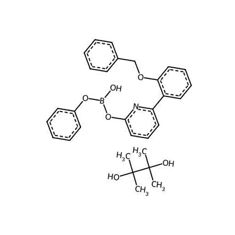 CC(C)(O)C(C)(C)O.OB(Oc1ccccc1)Oc1cccc(-c2ccccc2OCc2ccccc2)n1